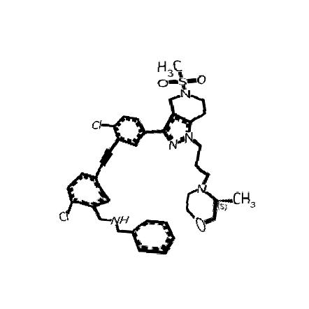 C[C@H]1COCCN1CCCn1nc(-c2ccc(Cl)c(C#Cc3ccc(Cl)c(CNCc4ccccc4)c3)c2)c2c1CCN(S(C)(=O)=O)C2